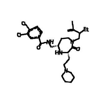 C=C(C)C(CC)CN1CC[C@@H](CNC(=O)c2ccc(Cl)c(Cl)c2)N[C@@H](CCN2CCCCC2)C1=O